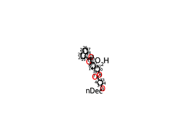 CCCCCCCCCCOc1ccc(C(=O)OC2CCC3=C(CCC(OC(=O)c4cccc5ccccc45)(C(=O)O)C3)C2)cc1